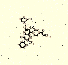 C=CC(=O)N1CCN(c2nc(OC[C@@H]3CCCN3C)nc3c(=O)n(-c4ccccc4F)c(C(F)(F)F)nc23)[C@@H](C)C1